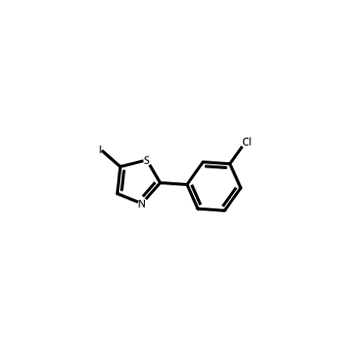 Clc1cccc(-c2ncc(I)s2)c1